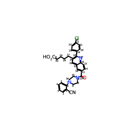 N#Cc1ccccc1N1CCN(C(=O)c2ccc3nc(-c4ccc(Cl)cc4)c(CCCCC(=O)O)cc3c2)CC1